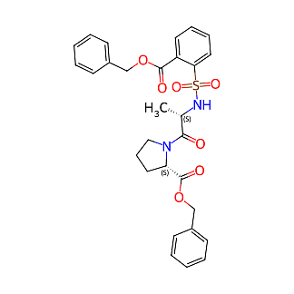 C[C@H](NS(=O)(=O)c1ccccc1C(=O)OCc1ccccc1)C(=O)N1CCC[C@H]1C(=O)OCc1ccccc1